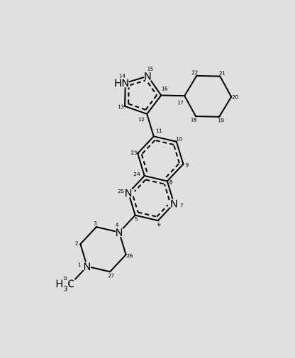 CN1CCN(c2cnc3ccc(-c4c[nH]nc4C4CCCCC4)cc3n2)CC1